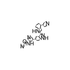 CN(C)CC(=O)Nc1cncc(-c2ccc3[nH]nc(-c4cc5c(-c6ccncc6)cccc5[nH]4)c3c2)c1